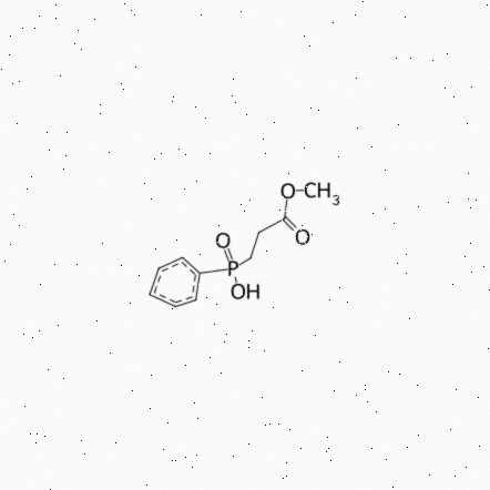 COC(=O)CCP(=O)(O)c1ccccc1